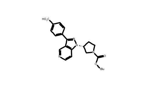 CC(C)(C)OC(=O)N1CC[C@@H](n2nc(-c3ccc(C(=O)O)cc3)c3cnccc32)C1